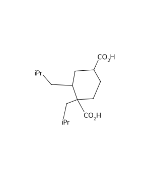 CC(C)CC1CC(C(=O)O)CCC1(CC(C)C)C(=O)O